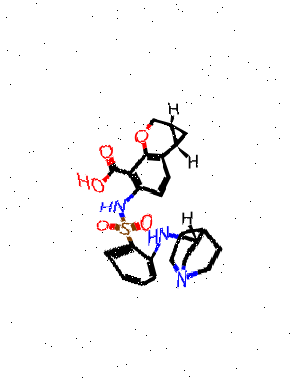 O=C(O)c1c(NS(=O)(=O)c2ccccc2N[C@H]2CN3CCC2CC3)ccc2c1OC[C@@H]1C[C@H]21